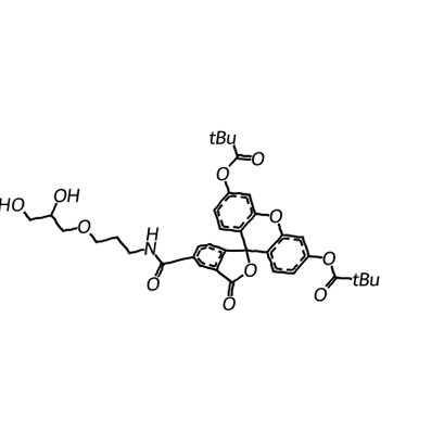 CC(C)(C)C(=O)Oc1ccc2c(c1)Oc1cc(OC(=O)C(C)(C)C)ccc1C21OC(=O)c2cc(C(=O)NCCCOCC(O)CO)ccc21